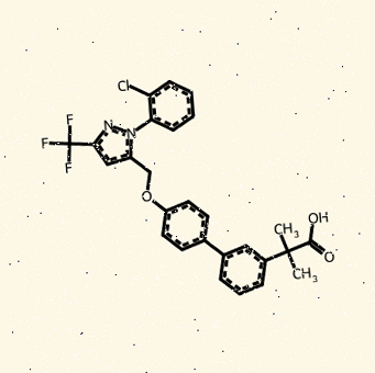 CC(C)(C(=O)O)c1cccc(-c2ccc(OCc3cc(C(F)(F)F)nn3-c3ccccc3Cl)cc2)c1